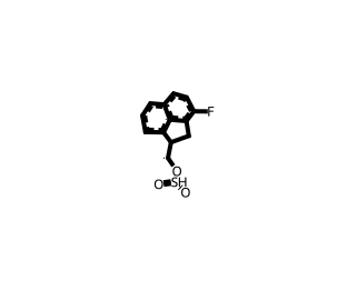 O=[SH](=O)O[CH]C1Cc2c(F)ccc3cccc1c23